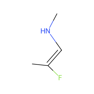 CN/C=C(\C)F